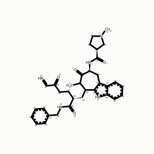 CC1C(=O)[C@@H](NC(=O)[C@H]2CCN(C)C2)Cc2c([nH]c3ccccc23)C1C[C@@H](CCC(=O)C=N)C(=O)NCc1ccccc1